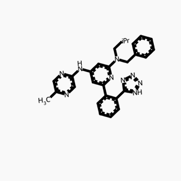 Cc1cnc(Nc2cc(-c3ccccc3-c3nnn[nH]3)nc(N(Cc3ccccc3)CC(C)C)c2)cn1